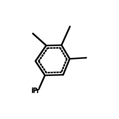 Cc1cc(C(C)C)cc(C)c1C